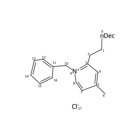 CCCCCCCCCCCCc1cc(C)cc[n+]1Cc1ccccc1.[Cl-]